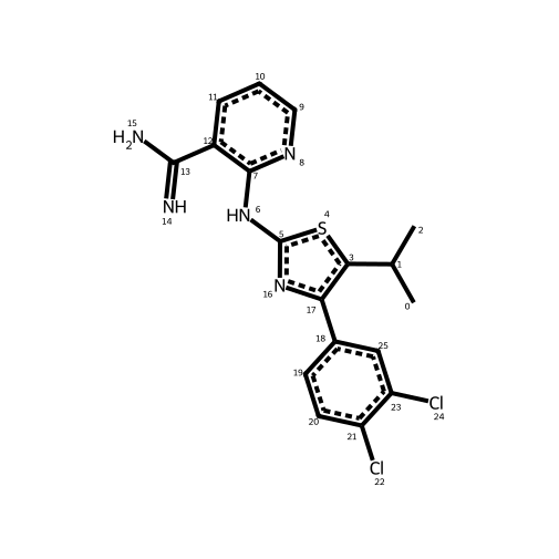 CC(C)c1sc(Nc2ncccc2C(=N)N)nc1-c1ccc(Cl)c(Cl)c1